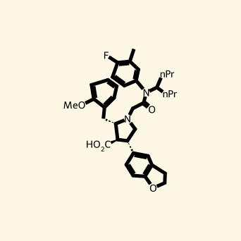 CCCC(CCC)N(C(=O)CN1C[C@H](c2ccc3c(c2)CCO3)[C@@H](C(=O)O)[C@@H]1Cc1ccccc1OC)c1ccc(F)c(C)c1